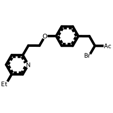 CCc1ccc(CCOc2ccc(CC(Br)C(C)=O)cc2)nc1